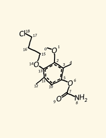 COc1c(C)c(OC(N)=O)cc(C)c1OCCCCl